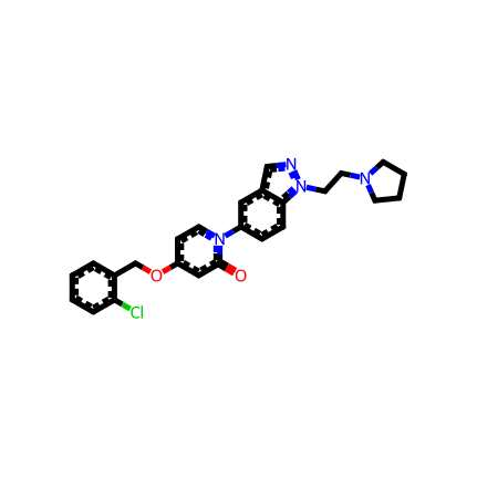 O=c1cc(OCc2ccccc2Cl)ccn1-c1ccc2c(cnn2CCN2CCCC2)c1